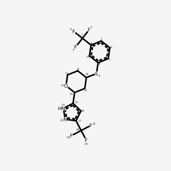 FC(F)(F)c1cccc(SC2CCOC(c3cc(C(F)(F)F)n[nH]3)C2)c1